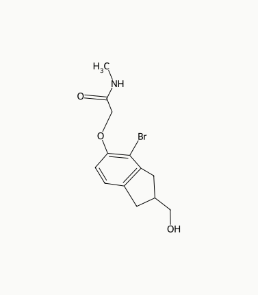 CNC(=O)COc1ccc2c(c1Br)CC(CO)C2